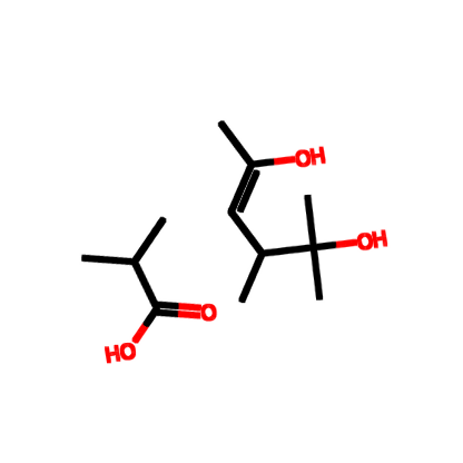 CC(C)C(=O)O.CC(O)=CC(C)C(C)(C)O